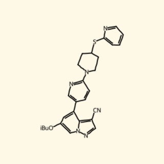 CC(C)COc1cc(-c2ccc(N3CCC(Sc4ccccn4)CC3)nc2)c2c(C#N)cnn2c1